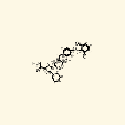 NC(=O)C1O[C@H](C2CCCCC2)[C@H](C(=O)N[C@@H](Cc2ccc(OCc3c(Cl)cccc3Cl)cc2)C(=O)O)O1